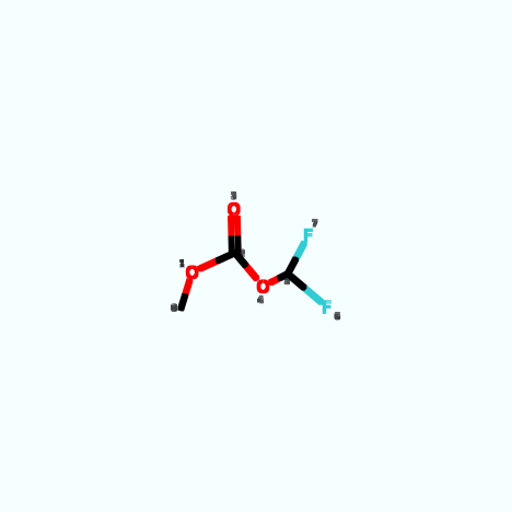 COC(=O)OC(F)F